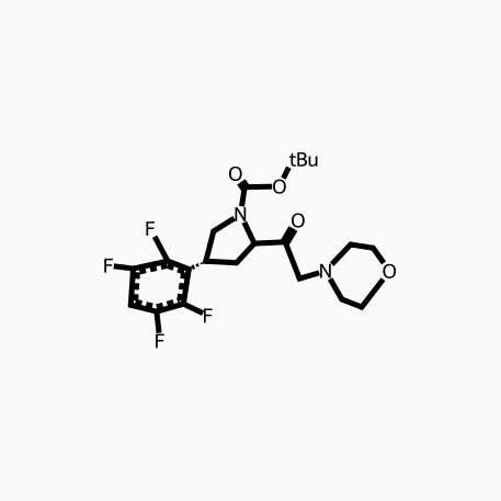 CC(C)(C)OC(=O)N1C[C@@H](c2c(F)c(F)cc(F)c2F)CC1C(=O)CN1CCOCC1